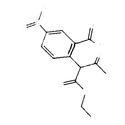 CCOC(=O)C(C(C)=O)c1ccc([N+](=O)[O-])cc1C(=O)O